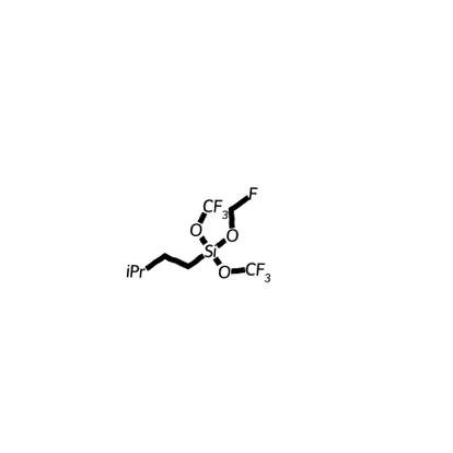 CC(C)CC[Si](OCF)(OC(F)(F)F)OC(F)(F)F